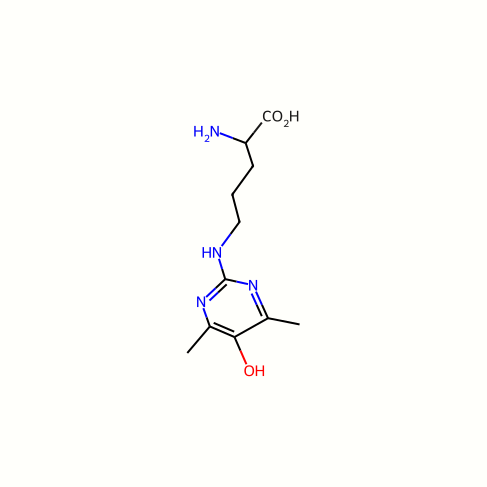 Cc1nc(NCCCC(N)C(=O)O)nc(C)c1O